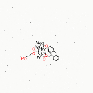 CCC(C)(CC(C)(CC(C)(C)C(=O)OC)C(=O)OCCCO)C(=O)OCc1c2ccccc2cc2ccccc12